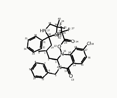 CC(CC1N(Cc2ccccc2)C(=O)c2ccc(Cl)cc2N1OC(=O)C(F)(F)F)CC1(c2ccccc2)NCC(C)(C)N1